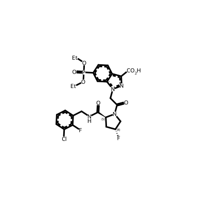 CCOP(=O)(OCC)c1ccc2c(C(=O)O)nn(CC(=O)N3C[C@H](F)C[C@H]3C(=O)NCc3cccc(Cl)c3F)c2c1